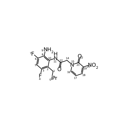 CC(C)Cc1c(F)cc(F)c(N)c1NC(=O)Cn1cccc([N+](=O)[O-])c1=O